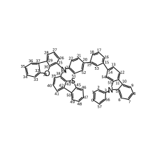 c1ccc(-n2c3ccccc3c3ccc(-c4cccc(-c5ccc(N(c6cccc7c6oc6ccccc67)c6cccc7c6sc6ccccc67)cc5)c4)cc32)cc1